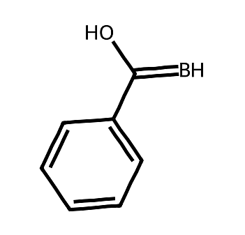 B=C(O)c1ccccc1